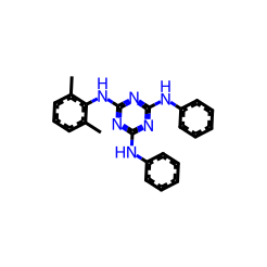 Cc1cccc(C)c1Nc1nc(Nc2ccccc2)nc(Nc2ccccc2)n1